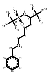 O=S(=O)(OC(CCCCOCc1ccccc1)C(F)(F)F)C(F)(F)F